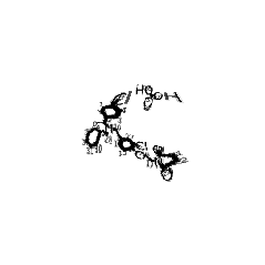 C[C@@H](c1ccc(Cl)cc1)N(Cc1ccc(OCCN2C(=O)CCC2=O)c(Cl)c1)CC1CCCCC1.O=C(O)O